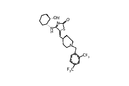 O=C1N=C(N[C@@H]2CCCC[C@@H]2O)C(=CC2CCN(Cc3ccc(C(F)(F)F)cc3C(F)(F)F)CC2)S1